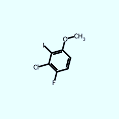 COc1ccc(F)c(Cl)c1I